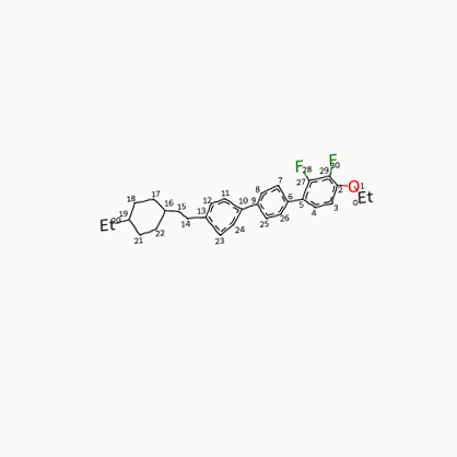 CCOc1ccc(-c2ccc(-c3ccc(CCC4CCC(CC)CC4)cc3)cc2)c(F)c1F